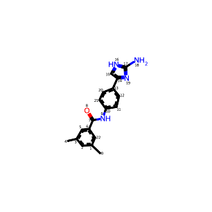 Cc1cc(C)cc(C(=O)Nc2ccc(-c3c[nH]c(N)n3)cc2)c1